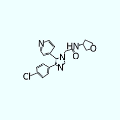 O=C(Cn1cnc(-c2ccc(Cl)cc2)c1-c1ccncc1)N[C@H]1CCOC1